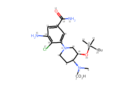 CN(C(=O)O)[C@H]1CCN(c2cc(C(N)=O)cc(N)c2Cl)C[C@H]1O[Si](C)(C)C(C)(C)C